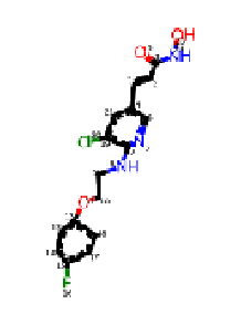 O=C(/C=C/c1cnc(NCCOc2ccc(F)cc2)c(Cl)c1)NO